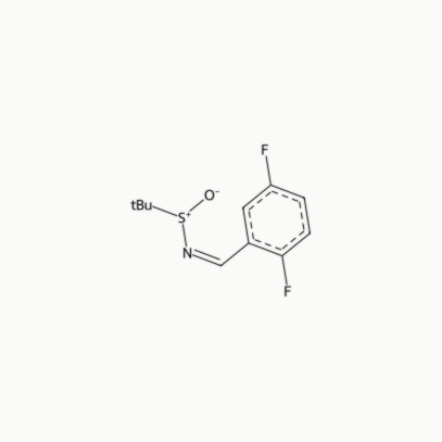 CC(C)(C)[S+]([O-])/N=C\c1cc(F)ccc1F